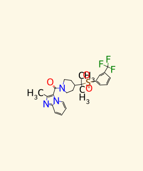 Cc1nc2ccccn2c1C(=O)N1CCC(C(C)(C)S(=O)(=O)c2cccc(C(F)(F)F)c2)CC1